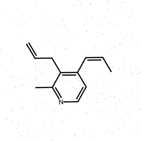 C=CCc1c(/C=C\C)ccnc1C